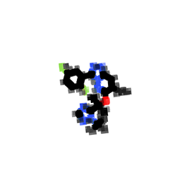 [2H]C([2H])(Oc1nn2c(-c3cc(F)ccc3F)nnc2cc1C(C)(C)C)c1ncnn1C([2H])([2H])[2H]